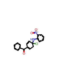 O=C(C1=CCC(Cl)(Nc2ccccc2[N+](=O)[O-])C=C1)c1ccccc1